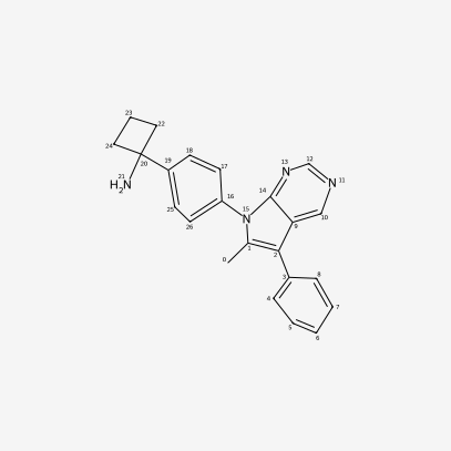 Cc1c(-c2ccccc2)c2cncnc2n1-c1ccc(C2(N)CCC2)cc1